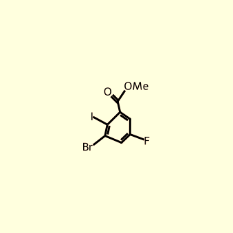 COC(=O)c1cc(F)cc(Br)c1I